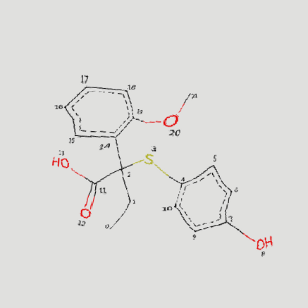 CCC(Sc1ccc(O)cc1)(C(=O)O)c1ccccc1OC